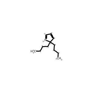 CCCCC1(CCCC)C=CC=N1